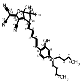 CCCCN(CCCC)c1ccc(/C=C/C=C/C=C/C2=C(C#N)C(=C(C#N)C#N)OC2(C)C(F)(F)F)c(O)c1